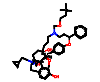 C[Si](C)(C)CCOCN(CCC[C@]1(O)CC[C@@]2(O)C3Cc4ccc(O)c5c4[C@@]2(CCN3CC2CC2)[C@H]1O5)CCC(Oc1ccc(C(F)(F)F)cc1)c1ccccc1